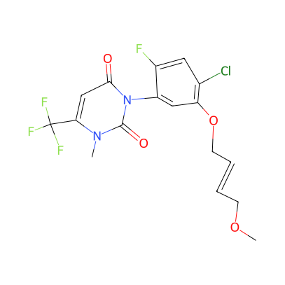 COCC=CCOc1cc(-n2c(=O)cc(C(F)(F)F)n(C)c2=O)c(F)cc1Cl